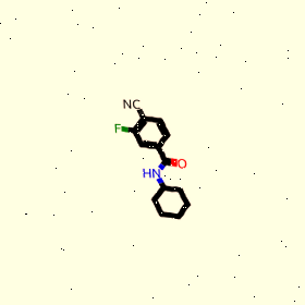 N#Cc1ccc(C(=O)NC2CCCCC2)cc1F